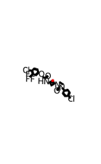 O=C(COc1ccc(Cl)c(C(F)(F)F)c1)NC12CC(N3CCN(c4ccc(Cl)cc4)C3=O)(C1)C2